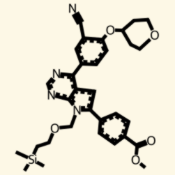 COC(=O)c1ccc(-c2cc3c(-c4ccc(OC5CCOCC5)c(C#N)c4)ncnc3n2COCC[Si](C)(C)C)cc1